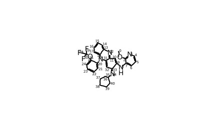 COc1ncccc1Nc1cc2nc3ccccc3n(-c3ccccc3OC(F)(F)F)c-2c/c1=N\C1CCCCC1